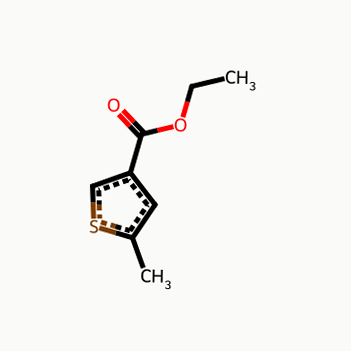 CCOC(=O)c1csc(C)c1